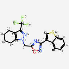 FC(F)(F)c1nn(Cc2nc(-c3csc4ccccc34)no2)c2c1CCCC2